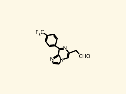 O=CCc1cn2ccnc2c(-c2ccc(C(F)(F)F)cc2)n1